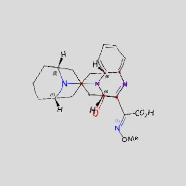 CO/N=C(\C(=O)O)c1nc2ccccc2n(C2C[C@H]3CCC[C@@H](C2)N3C2C[C@H]3CCC[C@@H](C2)C3)c1=O